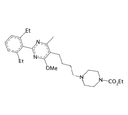 CCOC(=O)N1CCN(CCCCc2c(C)nc(-c3c(CC)cccc3CC)nc2OC)CC1